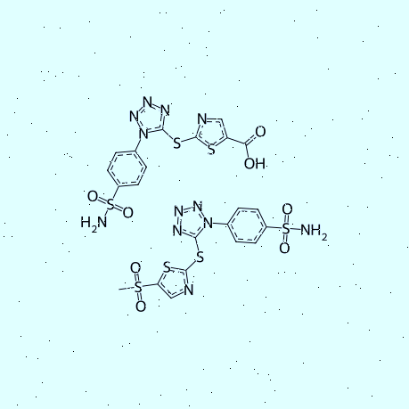 CS(=O)(=O)c1cnc(Sc2nnnn2-c2ccc(S(N)(=O)=O)cc2)s1.NS(=O)(=O)c1ccc(-n2nnnc2Sc2ncc(C(=O)O)s2)cc1